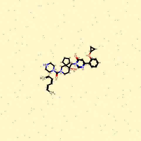 C=C(/C=C\C=C/C)[C@@H]1CNCCN1C(=O)N1CC[C@@](O)(Cn2cnc(-c3ccccc3OC3CC3)cc2=O)C2(CCCC2)C1